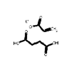 C=CC(=O)[O-].O=C(O)CCC(=O)O.[K+]